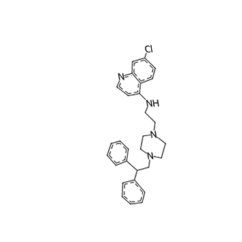 Clc1ccc2c(NCCN3CCN(CC(c4ccccc4)c4ccccc4)CC3)ccnc2c1